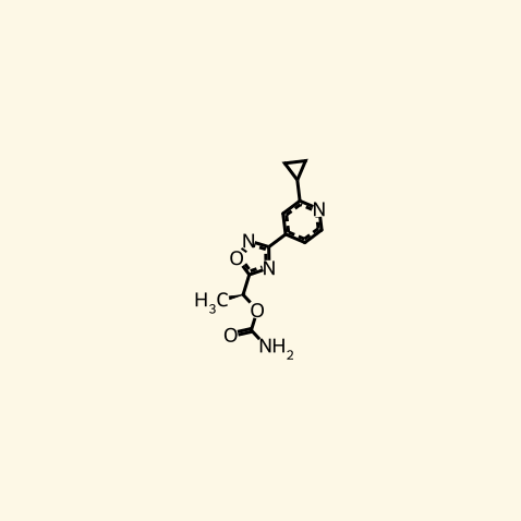 C[C@H](OC(N)=O)c1nc(-c2ccnc(C3CC3)c2)no1